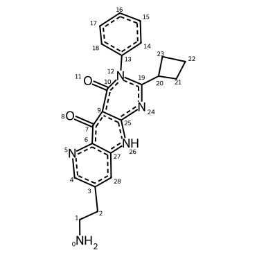 NCCc1cnc2c(=O)c3c(=O)n(-c4ccccc4)c(C4CCC4)nc3[nH]c2c1